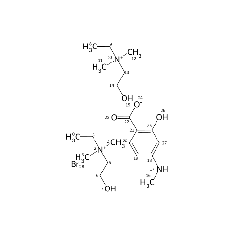 CC[N+](C)(C)CCO.CC[N+](C)(C)CCO.CNc1ccc(C(=O)[O-])c(O)c1.[Br-]